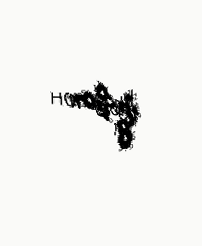 CC(C)CN(C[C@@H](O)[C@H](Cc1ccccc1)NC(=O)[C@H](C(C)C)N1CCN(Cc2ccnc3ccccc23)C1=O)S(=O)(=O)c1ccc(C=NO)cc1